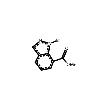 COC(=O)c1cccc2cnn(Br)c12